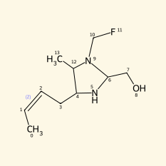 C/C=C\CC1NC(CO)N(CF)C1C